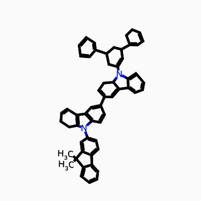 CC1(C)c2ccccc2-c2ccc(-n3c4c(c5cc(C6=CCC7C(=C6)c6ccccc6N7C6=CC(C7=CC=CCC7)CC(c7ccccc7)C6)ccc53)C=CCC4)cc21